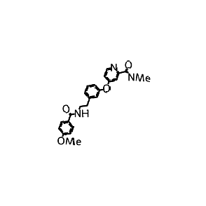 CNC(=O)c1cc(Oc2cccc(CCNC(=O)c3ccc(OC)cc3)c2)ccn1